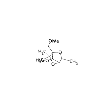 COCC12OC(C)C(OC1(C)C)C2OC